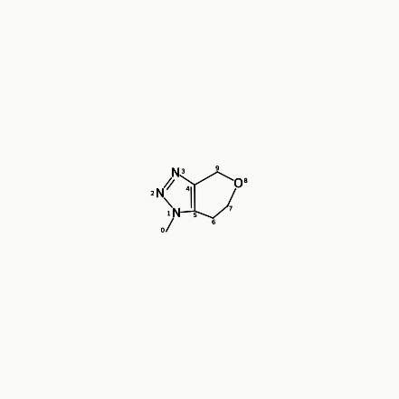 Cn1nnc2c1CCOC2